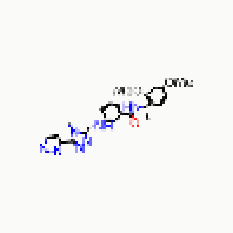 COc1ccc([C@@H](C)NC(=O)c2cccc(NCc3nnc(-c4ccncn4)n3C)c2)c(OC)c1